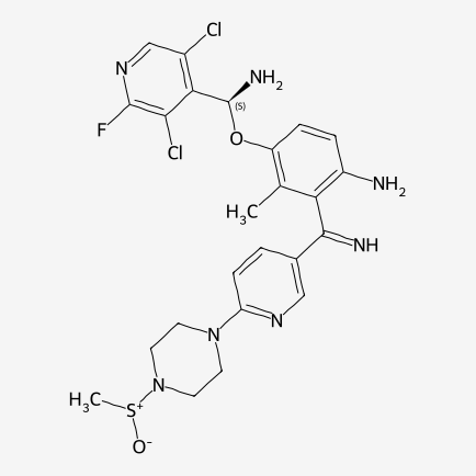 Cc1c(O[C@H](N)c2c(Cl)cnc(F)c2Cl)ccc(N)c1C(=N)c1ccc(N2CCN([S+](C)[O-])CC2)nc1